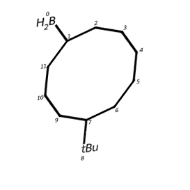 BC1CCCCCC(C(C)(C)C)CCC1